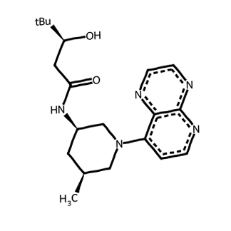 C[C@H]1C[C@@H](NC(=O)C[C@H](O)C(C)(C)C)CN(c2ccnc3nccnc23)C1